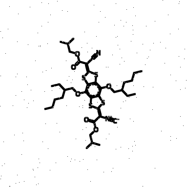 [C-]#[N+]C(C(=O)OCC(C)C)=C1Sc2c(OCC(CC)CCCC)c3c(c(OCC(CC)CCCC)c2S1)SC(=C(C#N)C(=O)OCC(C)C)S3